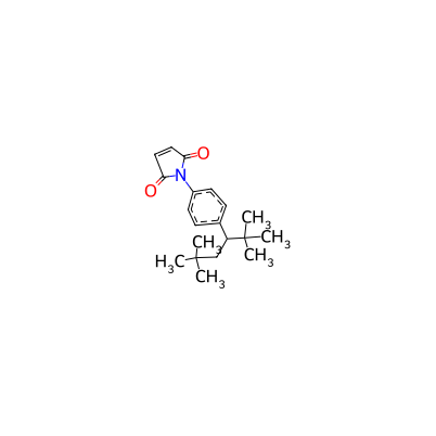 CC(C)(C)CC(c1ccc(N2C(=O)C=CC2=O)cc1)C(C)(C)C